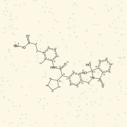 Cc1c(CCC(=O)OC(C)(C)C)cccc1NC(=O)C(c1ccc(CN2C(=O)c3ccccc3S2(O)O)cc1)C1CCCC1